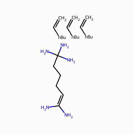 C=CCCCC.C=CCCCC.C=CCCCC.NC(N)=CCCCC(N)(N)N